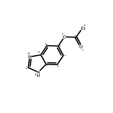 CCC(=O)Oc1ccc2[nH]cnc2c1